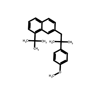 COc1ccc(C(C)(C)Cc2ccc3cccc(C(C)(C)C)c3c2)cc1